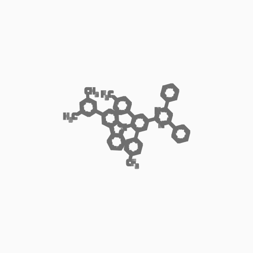 Cc1cc(C)cc(-c2ccc3c(c2)c2ccccc2n3-c2c(-c3ccc(C(F)(F)F)cc3)cc(-c3nc(-c4ccccc4)cc(-c4ccccc4)n3)cc2-c2ccc(C(F)(F)F)cc2)c1